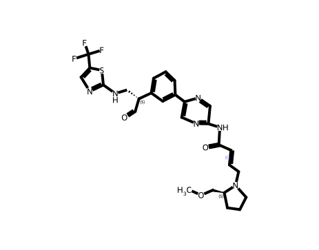 COC[C@@H]1CCCN1C/C=C/C(=O)Nc1cnc(-c2cccc([C@H](C=O)CNc3ncc(C(F)(F)F)s3)c2)cn1